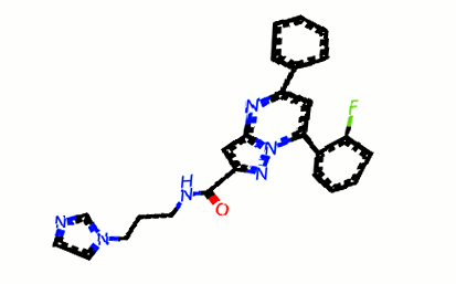 O=C(NCCCn1ccnc1)c1cc2nc(-c3ccccc3)cc(-c3ccccc3F)n2n1